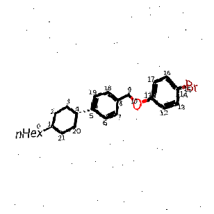 CCCCCC[C@H]1CC[C@H](c2ccc(COc3ccc(Br)cc3)cc2)CC1